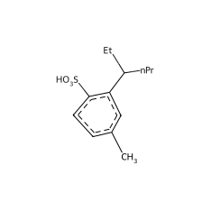 CCCC(CC)c1cc(C)ccc1S(=O)(=O)O